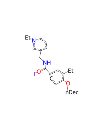 CCCCCCCCCCOc1ccc(C(=O)NCc2ccc[n+](CC)c2)cc1CC.[I-]